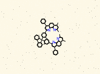 Cc1cc(C)c2ccc3c(-c4ccccc4)cc(-c4ccc(C5(c6ccc(-c7cc(-c8ccccc8)c8ccc9c(C)cc(C)nc9c8n7)cc6C)c6ccccc6-c6ccccc65)c(C)c4)nc3c2n1